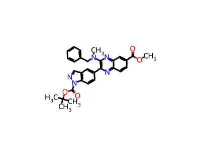 COC(=O)c1ccc2nc(-c3ccc4c(cnn4C(=O)OC(C)(C)C)c3)c(N(C)Cc3ccccc3)nc2c1